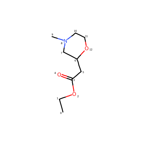 CCOC(=O)CC1CN(C)CCO1